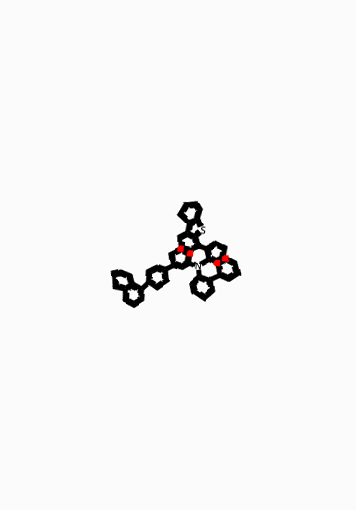 c1ccc(-c2ccccc2N(c2cccc(-c3ccc(-c4cccc5ccccc45)cc3)c2)c2ccccc2-c2cccc3c2sc2ccccc23)cc1